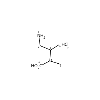 CC(CN)C(C)C(=O)O.Cl